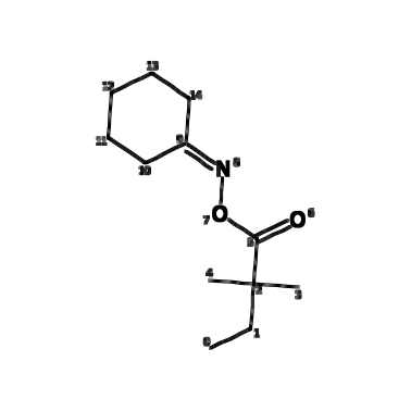 CCC(C)(C)C(=O)ON=C1CCCCC1